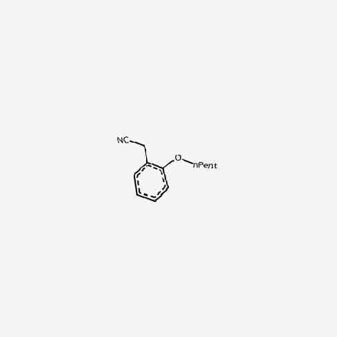 CCCCCOc1ccccc1CC#N